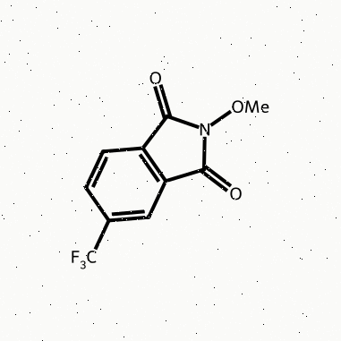 CON1C(=O)c2ccc(C(F)(F)F)cc2C1=O